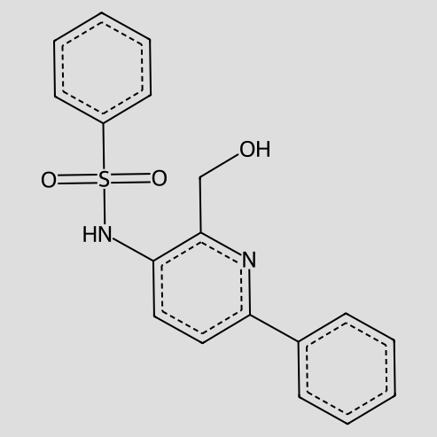 O=S(=O)(Nc1ccc(-c2ccccc2)nc1CO)c1ccccc1